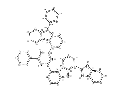 c1ccc(-c2nc(-c3cccc4sc5c(-c6nc7ccccc7o6)cccc5c34)nc(-c3cccc4c3c3ccccc3n4-c3ccccc3)n2)cc1